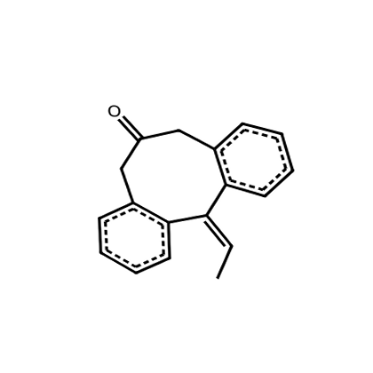 CC=C1c2ccccc2CC(=O)Cc2ccccc21